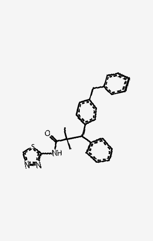 CC(C)(C(=O)Nc1nncs1)C(c1ccccc1)c1ccc(Cc2ccccc2)cc1